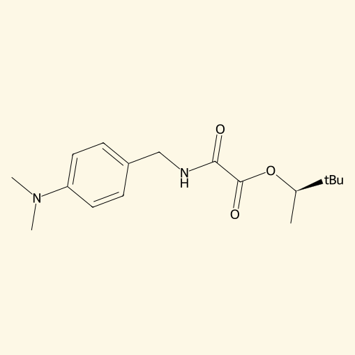 C[C@@H](OC(=O)C(=O)NCc1ccc(N(C)C)cc1)C(C)(C)C